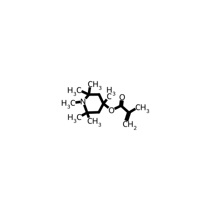 C=C(C)C(=O)OC1(C)CC(C)(C)N(C)C(C)(C)C1